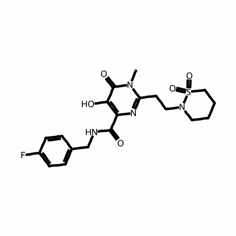 Cn1c(CCN2CCCCS2(=O)=O)nc(C(=O)NCc2ccc(F)cc2)c(O)c1=O